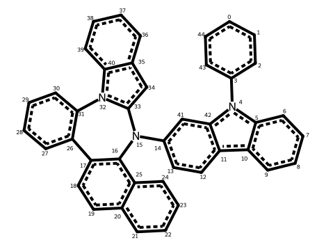 c1ccc(-n2c3ccccc3c3ccc(N4c5c(ccc6ccccc56)-c5ccccc5-n5c4cc4ccccc45)cc32)cc1